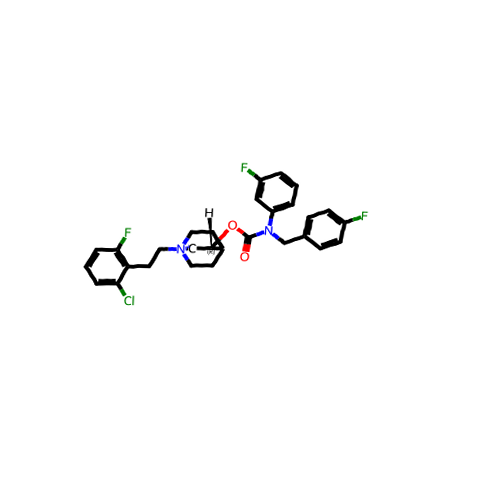 O=C(O[C@H]1C[N+]2(CCc3c(F)cccc3Cl)CCC1CC2)N(Cc1ccc(F)cc1)c1cccc(F)c1